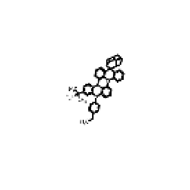 CCc1ccc(N2c3cc(C(C)(C)C)ccc3B3c4cccc5c4N(c4ccccc4C54C5CC6CC(C5)CC4C6)c4cccc2c43)cc1